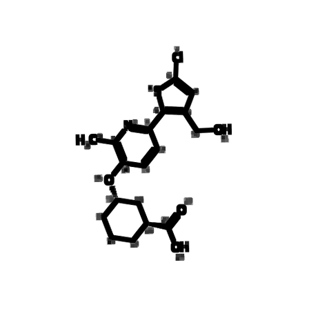 Cc1nc(-c2sc(Cl)cc2CO)ccc1O[C@H]1CCC[C@H](C(=O)O)C1